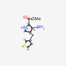 COC(=O)c1[nH]cc(Cc2ccsc2)c1N